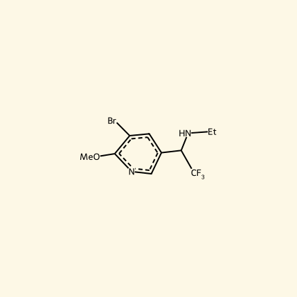 CCNC(c1cnc(OC)c(Br)c1)C(F)(F)F